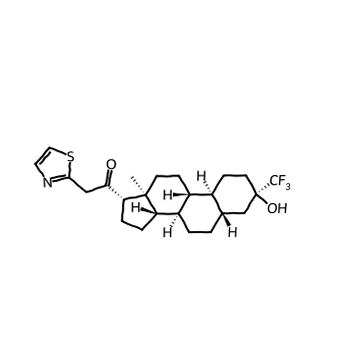 C[C@]12CC[C@H]3[C@@H](CC[C@H]4C[C@@](O)(C(F)(F)F)CC[C@@H]43)[C@@H]1CC[C@@H]2C(=O)Cc1nccs1